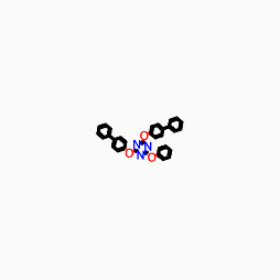 c1ccc(Oc2nc(Oc3ccc(-c4ccccc4)cc3)nc(Oc3ccc(-c4ccccc4)cc3)n2)cc1